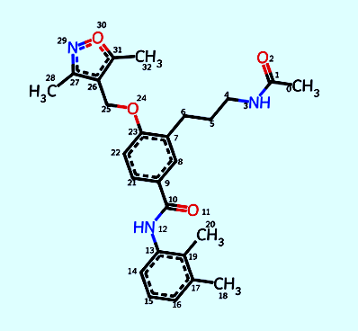 CC(=O)NCCCc1cc(C(=O)Nc2cccc(C)c2C)ccc1OCc1c(C)noc1C